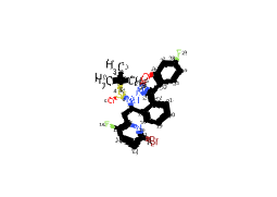 CC(C)(C)[S@+]([O-])NC(Cc1nc(Br)ccc1F)c1ccccc1-c1noc2cc(F)ccc12